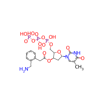 Cc1cn([C@H]2C[C@@H](OC(=O)Cc3ccccc3CN)C(COP(=O)(O)OP(=O)(O)OP(=O)(O)O)O2)c(=O)[nH]c1=O